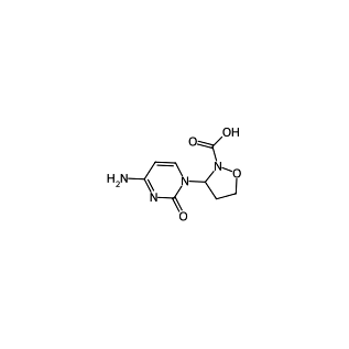 Nc1ccn(C2CCON2C(=O)O)c(=O)n1